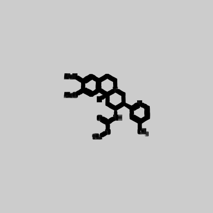 CNc1cc2c(cc1OC)[C@H]1C[C@@H](NC(=O)OC(C)(C)C)[C@H](c3cc(C)ccn3)CN1CC2